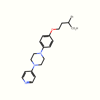 CCC(CCOc1ccc(N2CCN(c3ccncc3)CC2)cc1)C(=O)O